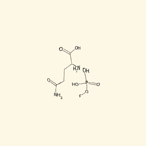 NC(=O)CCC(N)C(=O)O.O=P(O)(O)OF